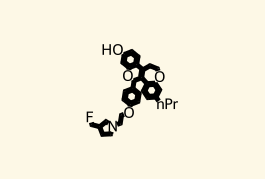 CCCc1ccc2c(c1)OCCC1=C2C(c2ccc(OCCN3CCC(CF)C3)cc2)Oc2cc(O)ccc21